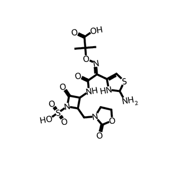 CC(C)(O/N=C(\C(=O)NC1C(=O)N(S(=O)(=O)O)C1CN1CCOC1=O)C1=CSC(N)N1)C(=O)O